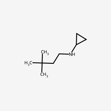 CC(C)(C)CCNC1CC1